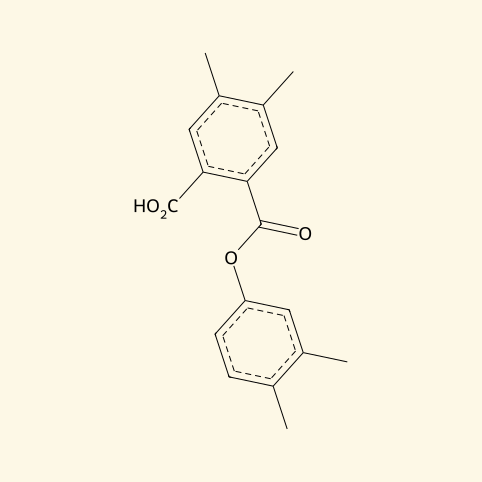 Cc1ccc(OC(=O)c2cc(C)c(C)cc2C(=O)O)cc1C